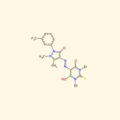 CCn1c(O)c(/N=N/c2c(C)n(C)n(-c3cccc(C(F)(F)F)c3)c2=O)c(=O)n(CC)c1=S